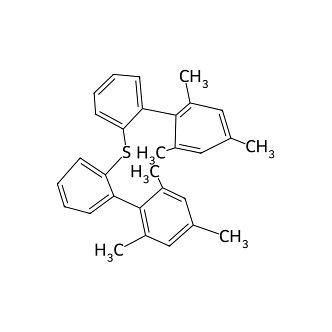 Cc1cc(C)c(-c2ccccc2Sc2ccccc2-c2c(C)cc(C)cc2C)c(C)c1